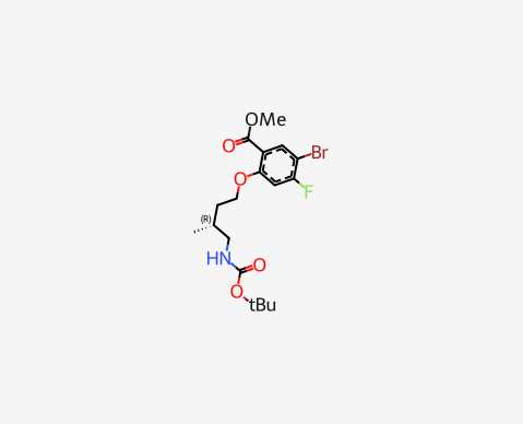 COC(=O)c1cc(Br)c(F)cc1OCC[C@@H](C)CNC(=O)OC(C)(C)C